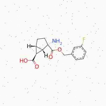 N[C@@]1(C(=O)OCc2cccc(F)c2)CC[C@H]2[C@H](C(=O)O)[C@H]21